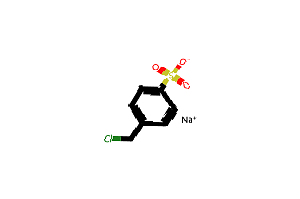 O=S(=O)([O-])c1ccc(CCl)cc1.[Na+]